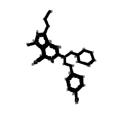 CCCc1nn(C)c2c(=O)[nH]c(N(CCc3ccc(Cl)cc3)CC3CCCCC3)nc12